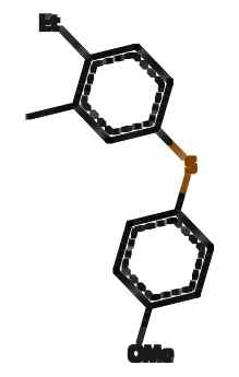 CCc1ccc(Sc2ccc(OC)cc2)cc1C